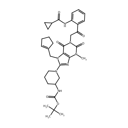 Cn1c(=O)n(CC(=O)c2ccccc2NC(=O)C2CC2)c(=O)c2c1nc(N1CCCC(NC(=O)OC(C)(C)C)C1)n2CC1=CCCC1